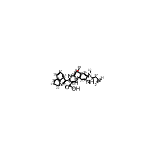 C/C=C(/N=C(\C(=C/C)C(=O)O)c1cn2c3c(cccc13)CCC2)Nc1cc(N)c(N(C)CCN(C)C)cc1CC